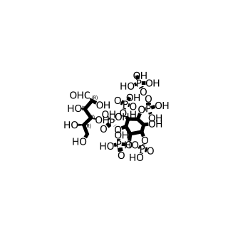 O=C[C@H](O)[C@@H](O)[C@H](O)[C@H](O)CO.O=P(O)(O)O.O=P(O)(O)OC1C(O)C(OP(=O)(O)O)C(OP(=O)(O)O)C(OP(=O)(O)O)C1OP(=O)(O)O